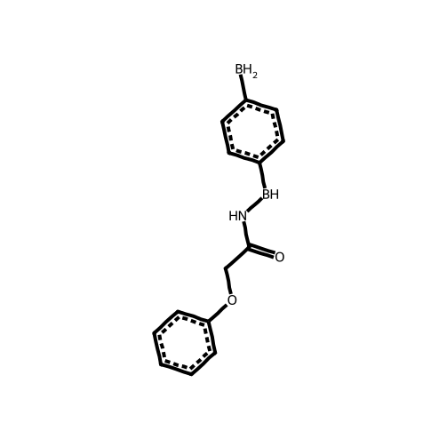 Bc1ccc(BNC(=O)COc2ccccc2)cc1